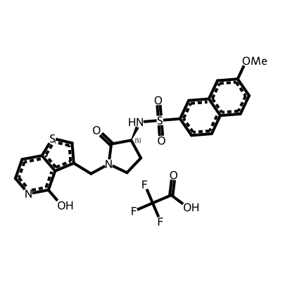 COc1ccc2ccc(S(=O)(=O)N[C@H]3CCN(Cc4csc5ccnc(O)c45)C3=O)cc2c1.O=C(O)C(F)(F)F